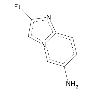 CCc1cn2cc(N)ccc2n1